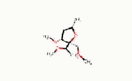 B[C@H]1C[C@@H](OC)[C@](COC)(C(C)OC)O1